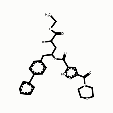 CCOC(=O)C(O)CC(Cc1ccc(-c2ccccc2)cc1)NC(=O)c1cc(C(=O)N2CCOCC2)n[nH]1